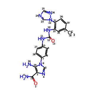 NC(=O)c1ncn(-c2ccc(NC(=O)Nc3cc(C(F)(F)F)ccc3-n3cncn3)cc2)c1N